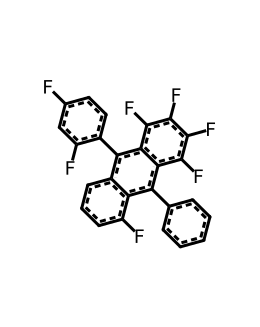 Fc1ccc(-c2c3cccc(F)c3c(-c3ccccc3)c3c(F)c(F)c(F)c(F)c23)c(F)c1